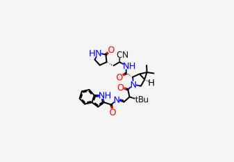 CC(C)(C)C(/C=N/C(=O)c1cc2ccccc2[nH]1)C(=O)N1C[C@H]2C([C@H]1C(=O)N[C@H](C#N)C[C@@H]1CCNC1=O)C2(C)C